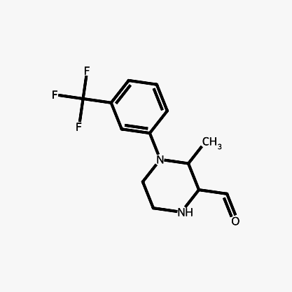 CC1C(C=O)NCCN1c1cccc(C(F)(F)F)c1